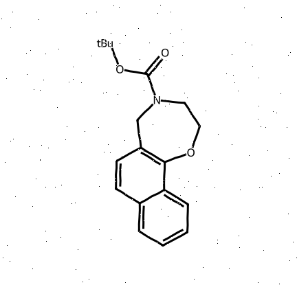 CC(C)(C)OC(=O)N1CCOc2c(ccc3ccccc23)C1